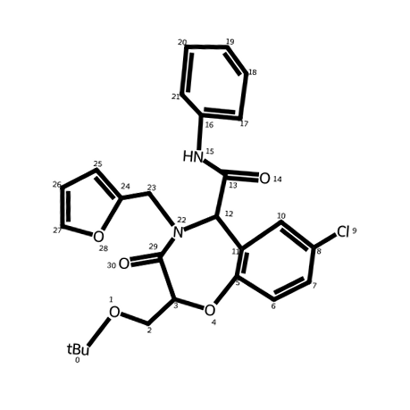 CC(C)(C)OCC1Oc2ccc(Cl)cc2C(C(=O)Nc2ccccc2)N(Cc2ccco2)C1=O